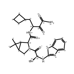 CC1(C)C2CN(C(=O)[C@@H](Nc3nc4ccccc4o3)C(C)(C)C)C(C(=O)NC(CC3CCC3)C(=O)C(N)=O)C21